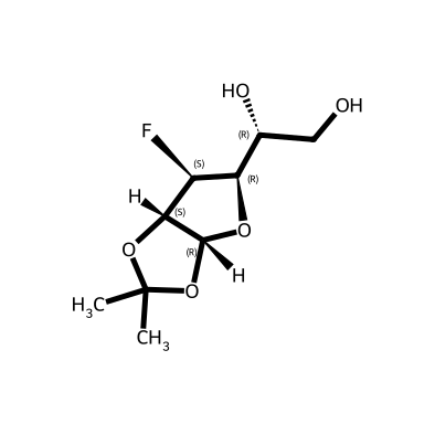 CC1(C)O[C@H]2O[C@H]([C@H](O)CO)[C@H](F)[C@H]2O1